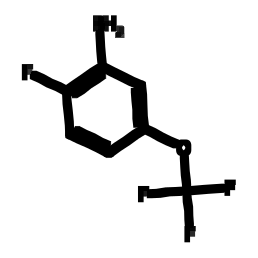 Bc1cc(OC(F)(F)F)ccc1F